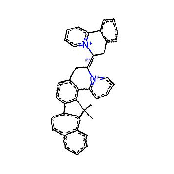 CC1(C)c2c(ccc3c2-c2cccc[n+]2/C(=C2\Cc4ccccc4-c4cccc[n+]42)C3)-c2ccc3ccccc3c21